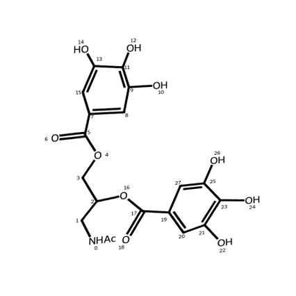 CC(=O)NCC(COC(=O)c1cc(O)c(O)c(O)c1)OC(=O)c1cc(O)c(O)c(O)c1